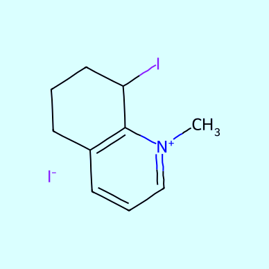 C[n+]1cccc2c1C(I)CCC2.[I-]